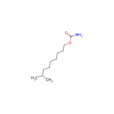 CC(C)CCCCCCCOC(N)=O